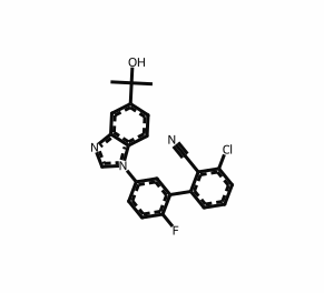 CC(C)(O)c1ccc2c(c1)ncn2-c1ccc(F)c(-c2cccc(Cl)c2C#N)c1